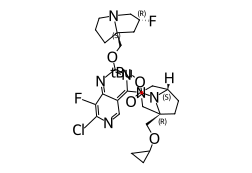 CC(C)(C)OC(=O)N1[C@H]2CC[C@]1(COC1CC1)CN(c1nc(OC[C@@]34CCCN3C[C@H](F)C4)nc3c(F)c(Cl)ncc13)C2